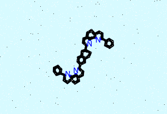 c1ccc(-c2ccc3ccc4ccc(-c5ccc6cc(-c7ccc8ccc9ccc(-c%10ccccc%10)nc9c8n7)ccc6c5)nc4c3n2)cc1